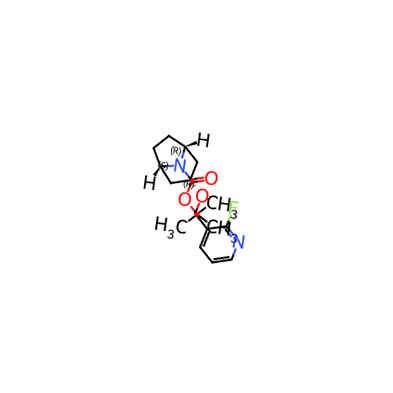 CC(C)(C)OC(=O)N1[C@@H]2CC[C@H]1C[C@@H](OCc1cccnc1F)C2